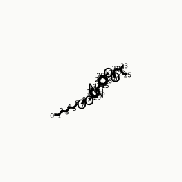 CCCCCCCOCOc1cnc(-c2ccc(OC(=O)CC(C)CC)cc2)nc1